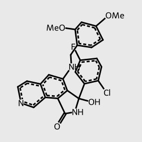 COc1ccc(CNc2cc3ccncc3c3c2C(O)(c2cc(F)ccc2Cl)NC3=O)c(OC)c1